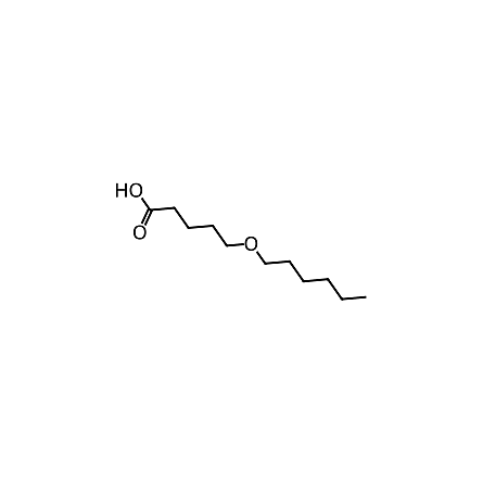 CCCCCCOCCCCC(=O)O